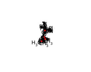 CC(C)(C)OC(=O)N(c1ccc(COC(=O)CC(=O)O[C@@H](Cc2c(Cl)cncc2Cl)c2ccc(OC(F)F)c(OCC3CC3)c2)cc1OCC1CC1)S(C)(=O)=O